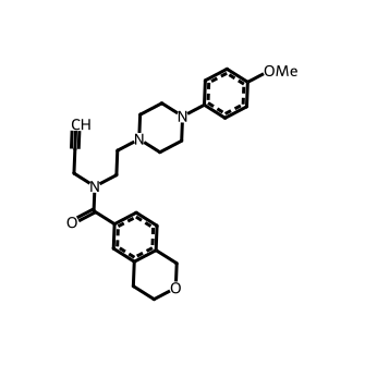 C#CCN(CCN1CCN(c2ccc(OC)cc2)CC1)C(=O)c1ccc2c(c1)CCOC2